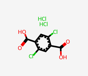 Cl.Cl.O=C(O)c1cc(Cl)c(C(=O)O)cc1Cl